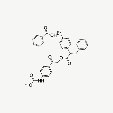 COC(=O)Nc1ccc(C(=O)COC(=O)C(Cc2ccccc2)c2ccc(Br)cn2)cc1.O=C(O)c1ccccc1